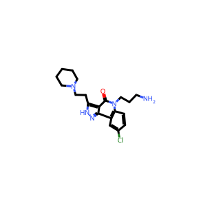 NCCCn1c(=O)c2c(CCN3CCCCC3)[nH]nc2c2cc(Cl)ccc21